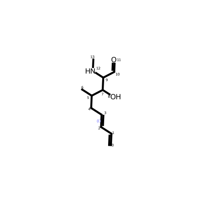 C=C/C=C/CC(C)C(O)C(C=O)NC